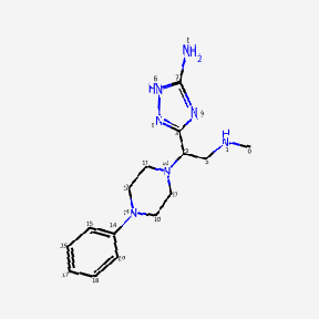 CNCC(c1n[nH]c(N)n1)N1CCN(c2ccccc2)CC1